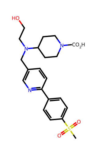 CS(=O)(=O)c1ccc(-c2ccc(CN(CCO)C3CCN(C(=O)O)CC3)cn2)cc1